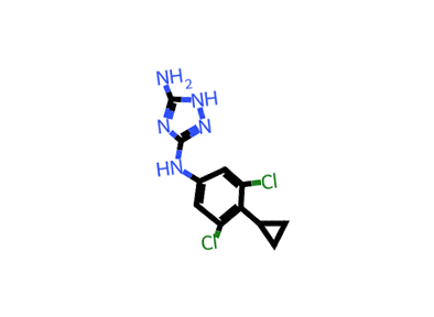 Nc1nc(Nc2cc(Cl)c(C3CC3)c(Cl)c2)n[nH]1